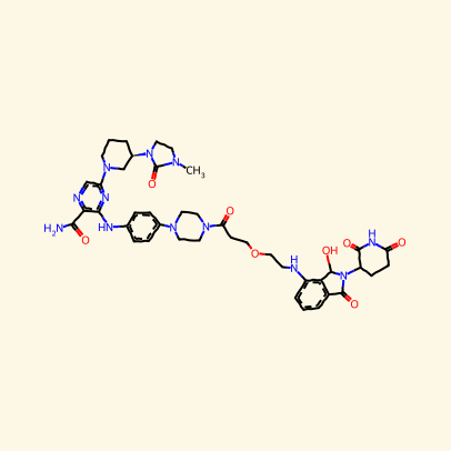 CN1CCN([C@@H]2CCCN(c3cnc(C(N)=O)c(Nc4ccc(N5CCN(C(=O)CCOCCNc6cccc7c6C(O)N(C6CCC(=O)NC6=O)C7=O)CC5)cc4)n3)C2)C1=O